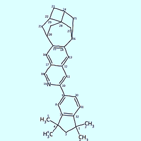 CC1(C)CC(C)(C)c2cc(-c3cc4cc5c(cc4cn3)C3CC4CC6CC5CC46C3)ccc21